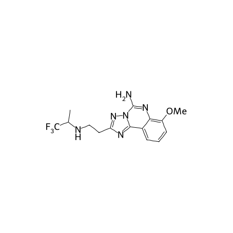 COc1cccc2c1nc(N)n1nc(CCNC(C)C(F)(F)F)nc21